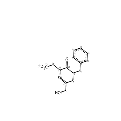 N#CCC(=O)C[C@@H](Cc1ccccc1)C(=O)NCC(=O)O